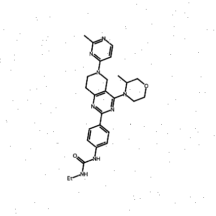 CCNC(=O)Nc1ccc(-c2nc3c(c(N4CCOCC4C)n2)CN(c2ccnc(C)n2)CC3)cc1